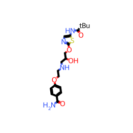 CC(C)(C)C(=O)Nc1cnc(OCC(O)CNCCOc2ccc(C(N)=O)cc2)s1